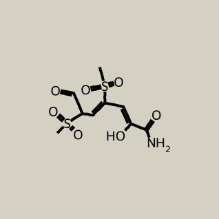 CS(=O)(=O)C(C=C(O)C(N)=O)=CC(C=O)S(C)(=O)=O